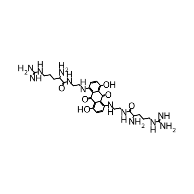 N=C(N)NCCCC(N)C(=O)NCCNc1ccc(O)c2c1C(=O)c1c(O)ccc(NCCNC(=O)C(N)CCCNC(=N)N)c1C2=O